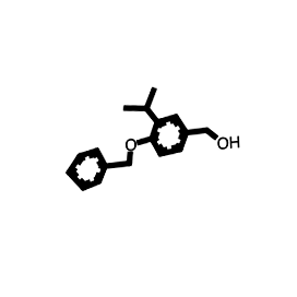 CC(C)c1cc(CO)ccc1OCc1ccccc1